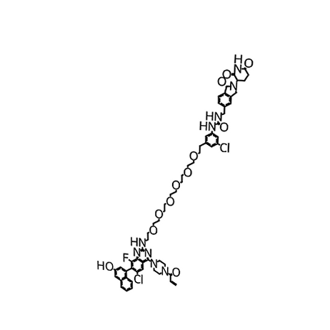 C=CC(=O)N1CCN(c2nc(NCCOCCOCCOCCOCCOCCOCCc3cc(Cl)cc(NC(=O)NCc4ccc5c(c4)CN(C4CCC(=O)NC4=O)C5=O)c3)nc3c(F)c(-c4cc(O)cc5ccccc45)c(Cl)cc23)CC1